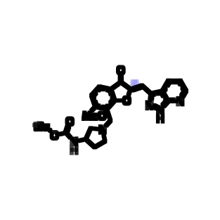 COc1ccc2c(c1CN1CCC(NC(=O)OC(C)(C)C)C1)O/C(=C\c1n[nH]c3ncccc13)C2=O